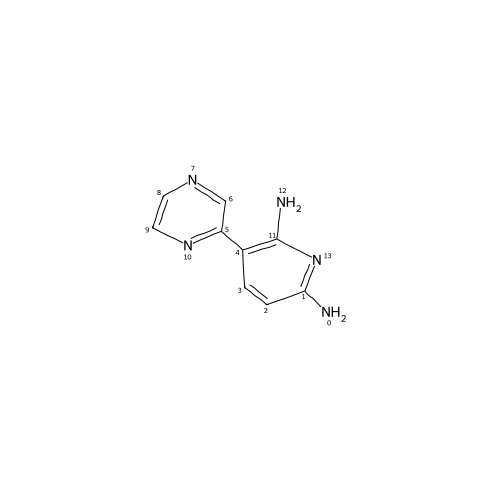 Nc1ccc(-c2cnccn2)c(N)n1